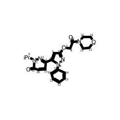 CC(C)n1nc(-c2cc(OCC(=O)N3CCOCC3)nn2-c2ccccc2)ccc1=O